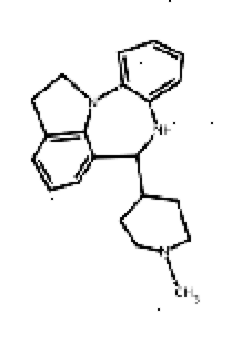 CN1CCC(C2Nc3ccccc3N3CCc4cccc2c43)CC1